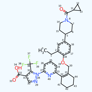 CCc1cc(C2CCN(C(=O)C3CC3)CC2)ccc1OCC1=C(c2cccc(-n3ncc(C(=O)O)c3C(F)(F)F)n2)CCCC1